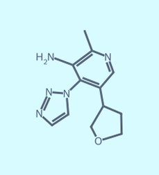 Cc1ncc(C2CCOC2)c(-n2ccnn2)c1N